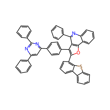 c1ccc(-c2cc(-c3ccc(-c4c(-c5cccc6c5sc5ccccc56)oc5c4c(-c4ccccc4)nc4ccccc45)cc3)nc(-c3ccccc3)n2)cc1